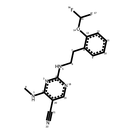 CNc1nc(NCCc2ccccc2OC(F)F)ncc1C#N